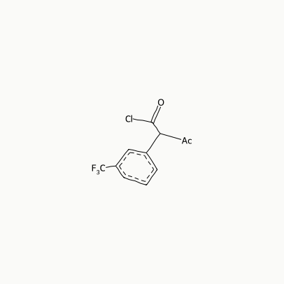 CC(=O)C(C(=O)Cl)c1cccc(C(F)(F)F)c1